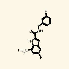 O=C(NCc1cccc(F)c1)c1cc2cc(F)cc(C(=O)O)c2[nH]1